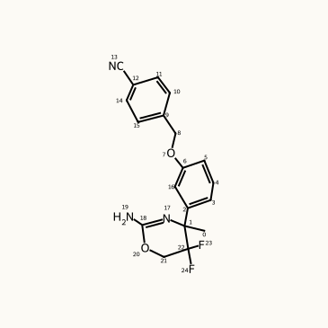 CC1(c2cccc(OCc3ccc(C#N)cc3)c2)N=C(N)OCC1(F)F